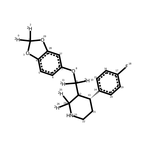 [2H]C1([2H])Oc2ccc(OC([2H])([2H])C3[C@H](c4ccc(F)cc4)CCNC3([2H])[2H])cc2O1